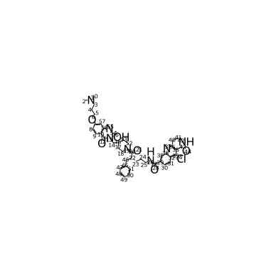 CN(C)CCCOc1ccc2c(=O)n(CC3(O)CCN(C(=O)[C@H](CCCNC(=O)c4ccc5c(Cl)c6c(nc5c4)CCNC6=O)Cc4ccccc4)CC3)cnc2c1